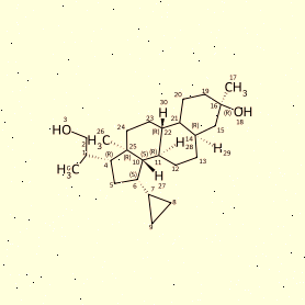 CC(CO)[C@H]1C[C@@H](C2CC2)[C@H]2[C@@H]3CC[C@@H]4C[C@](C)(O)CCC4[C@H]3CC[C@@]21C